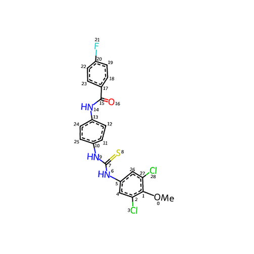 COc1c(Cl)cc(NC(=S)Nc2ccc(NC(=O)c3ccc(F)cc3)cc2)cc1Cl